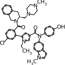 CCn1cc(C(=O)N(c2ccc(O)cc2)c2ccc3c(ccn3C)c2)cc1-c1cc(Cl)ccc1C(=O)N1Cc2ccccc2C[C@H]1CN1CCN(C)CC1